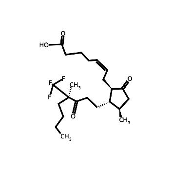 CCCC[C@](C)(C(=O)CC[C@H]1[C@H](C)CC(=O)[C@@H]1C/C=C\CCCC(=O)O)C(F)(F)F